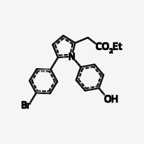 CCOC(=O)Cc1ccc(-c2ccc(Br)cc2)n1-c1ccc(O)cc1